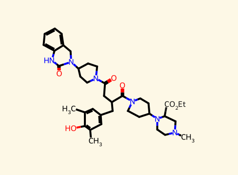 CCOC(=O)C1CN(C)CCN1C1CCN(C(=O)C(CC(=O)N2CCC(N3Cc4ccccc4NC3=O)CC2)Cc2cc(C)c(O)c(C)c2)CC1